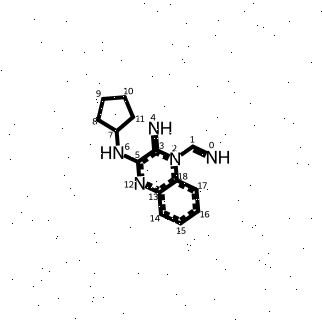 N=Cn1c(=N)c(NC2CCCC2)nc2ccccc21